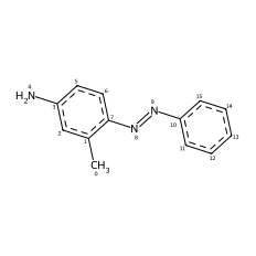 Cc1cc(N)ccc1/N=N/c1ccccc1